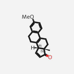 COc1ccc2c(c1)CCC1=C2CC[C@]2(C)C(=O)C=C[C@H]12